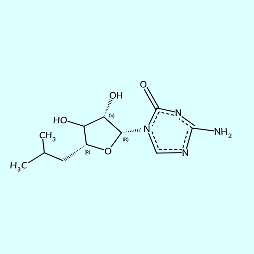 CC(C)C[C@H]1O[C@@H](n2cnc(N)nc2=O)[C@@H](O)C1O